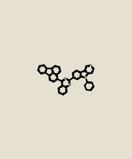 C1=CCCC(n2c3ccncc3c3ccc(-c4nc(-c5ccc6c7c(cccc57)-c5ccccc5-6)c5ccccc5n4)cc32)=C1